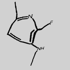 CNc1ccc(C)nc1F